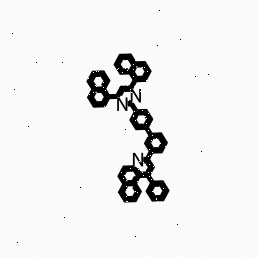 c1ccc(-c2cc(-c3cccc(-c4ccc(-c5nc(-c6cccc7ccccc67)cc(-c6cccc7ccccc67)n5)cc4)c3)nc3ccc4ccccc4c23)cc1